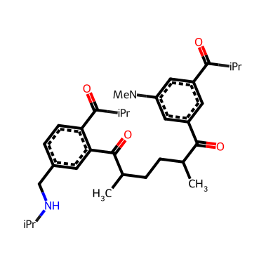 CNc1cc(C(=O)C(C)C)cc(C(=O)C(C)CCC(C)C(=O)c2cc(CNC(C)C)ccc2C(=O)C(C)C)c1